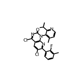 Cc1cccc(-c2nc3c(cc2Cl)c(Cl)nc(=O)n3-c2c(C)ccnc2C(C)C)c1F